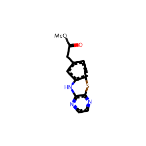 COC(=O)Cc1ccc2c(c1)Nc1nccnc1S2